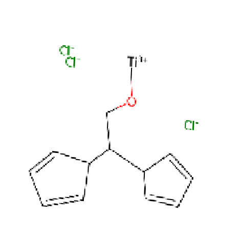 [Cl-].[Cl-].[Cl-].[Ti+3][O]CC(C1C=CC=C1)C1C=CC=C1